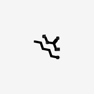 CCCCC[O].O=C(O)OCl